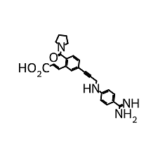 N=C(N)c1ccc(NCC#Cc2ccc(C(=O)N3CCCC3)c(/C=C/C(=O)O)c2)cc1